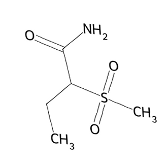 CCC(C(N)=O)S(C)(=O)=O